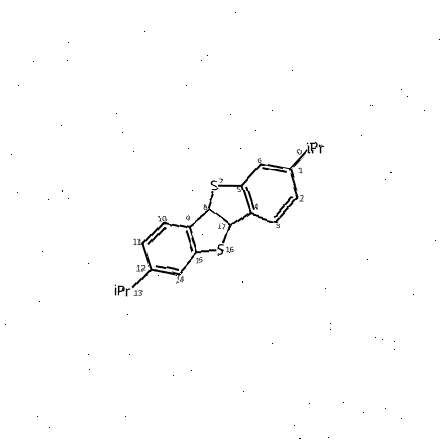 CC(C)c1ccc2c(c1)SC1c3ccc(C(C)C)cc3SC21